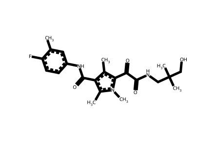 Cc1cc(NC(=O)c2c(C)c(C(=O)C(=O)NCC(C)(C)CO)n(C)c2C)ccc1F